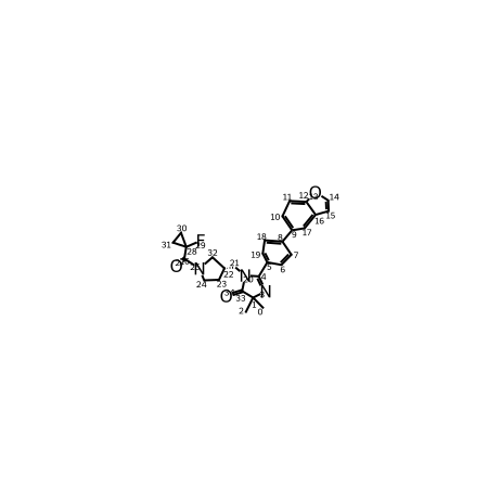 CC1(C)N=C(c2ccc(-c3ccc4occc4c3)cc2)N(C[C@@H]2CCN(C(=O)C3(F)CC3)C2)C1=O